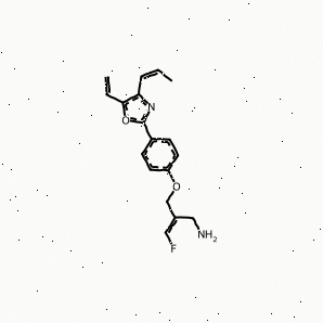 C=Cc1oc(-c2ccc(OC/C(=C/F)CN)cc2)nc1/C=C\C